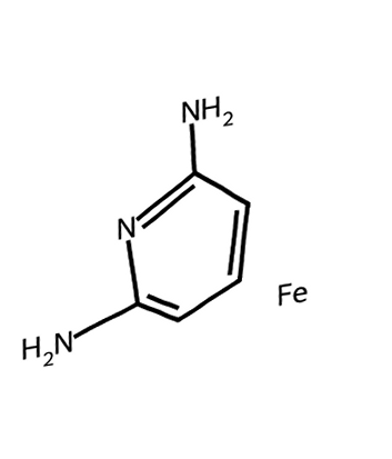 Nc1cccc(N)n1.[Fe]